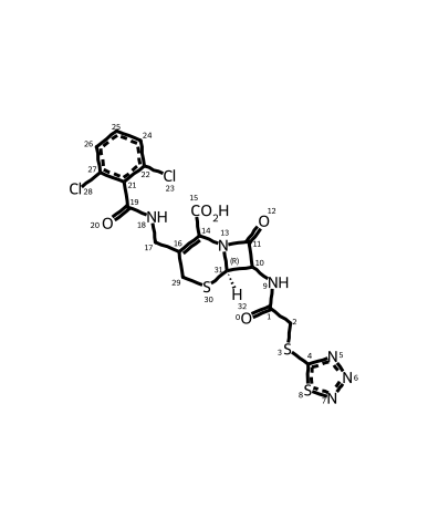 O=C(CSc1nnns1)NC1C(=O)N2C(C(=O)O)=C(CNC(=O)c3c(Cl)cccc3Cl)CS[C@H]12